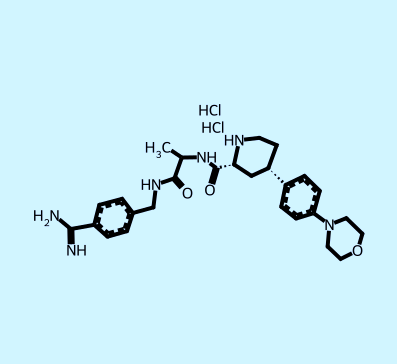 CC(NC(=O)[C@H]1C[C@@H](c2ccc(N3CCOCC3)cc2)CCN1)C(=O)NCc1ccc(C(=N)N)cc1.Cl.Cl